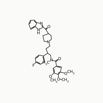 COc1cc(C(=O)N(C)CC(CCN2CCC(C(=O)c3nc4ccccc4[nH]3)CC2)c2ccc(F)cc2)cc(OC)c1OC